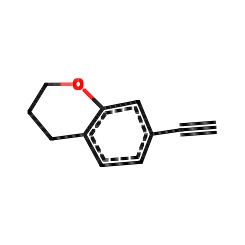 C#Cc1ccc2c(c1)OCCC2